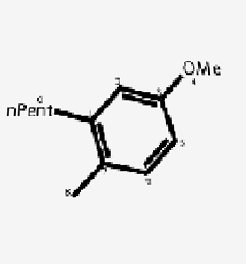 CCCCCc1cc(OC)ccc1C